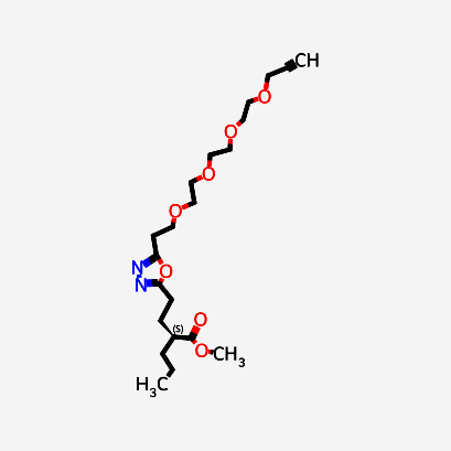 C#CCOCCOCCOCCOCCc1nnc(CC[C@H](CCC)C(=O)OC)o1